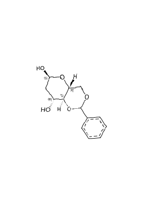 O[C@@H]1C[C@@H](O)[C@@H]2OC(c3ccccc3)OC[C@H]2O1